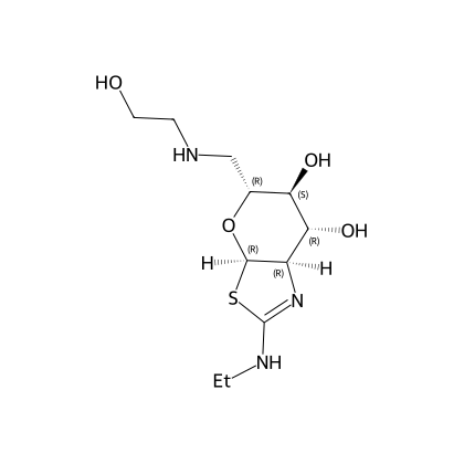 CCNC1=N[C@@H]2[C@@H](O)[C@H](O)[C@@H](CNCCO)O[C@@H]2S1